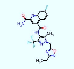 CCc1noc(Cn2nc(C(F)(F)F)c(NC(=O)c3cc(C(N)=O)nc4cc(F)ccc34)c2C)n1